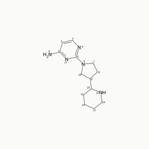 Nc1ccnc(N2CCC(C3CCCCN3)C2)n1